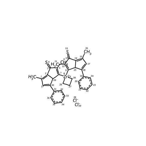 CC1=C2C(=S)C(C)=[C]([Zr+2]3([C]4=C(C)C(=S)C5=C(C)C=C(c6ccccc6)C54)[CH2]C[CH2]3)C2C(c2ccccc2)=C1.[Cl-].[Cl-]